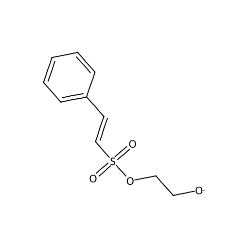 [O]CCOS(=O)(=O)C=Cc1ccccc1